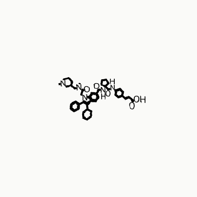 CN1CCCC(CN(C)C(=O)Cn2c(-c3ccccc3)c(C3CCCCC3)c3ccc(C(=O)NC4(C(=O)Nc5ccc(/C=C/C(=O)O)cc5)CCCC4)cc32)C1